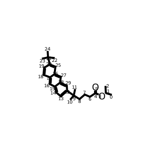 CC(C)OC(=O)CCCC(C)(C)c1ccc2cc3ccc(C(C)(C)C)cc3cc2c1